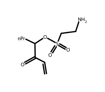 C=CC(=O)C(CCC)OS(=O)(=O)CCN